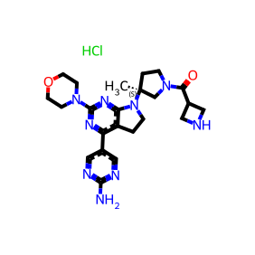 C[C@]1(N2CCc3c(-c4cnc(N)nc4)nc(N4CCOCC4)nc32)CCN(C(=O)C2CNC2)C1.Cl